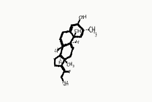 C[C@@H]1C[C@@]2(C)C(=C[C@H]1O)CC[C@@H]1[C@@H]2CC[C@]2(C)C(=C(F)CO)CC[C@@H]12